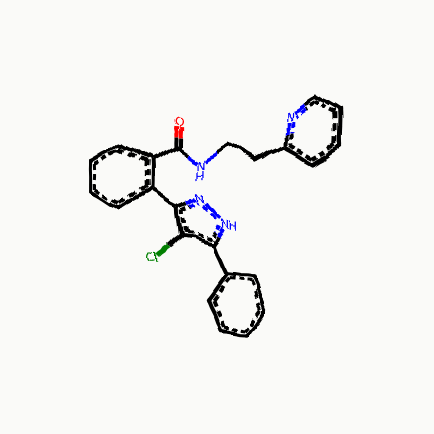 O=C(NCCc1ccccn1)c1ccccc1-c1n[nH]c(-c2ccccc2)c1Cl